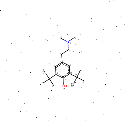 CCC(C)(C)c1cc(CCN(C)C)cc(C(C)(C)CC)c1O